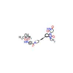 Cn1c(=O)n(C2CCC(=O)NC2=O)c2ccc(C#CC3CCN(C(=O)C45CCC(NC(=O)OC(C)(C)C)(CC4)CC5)CC3)cc21